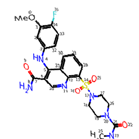 COc1cc(Nc2c(C(N)=O)cnc3c(S(=O)(=O)N4CCN(C(=O)N(C)C)CC4)cccc23)ccc1F